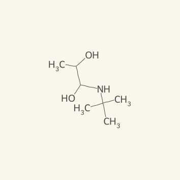 CC(O)C(O)NC(C)(C)C